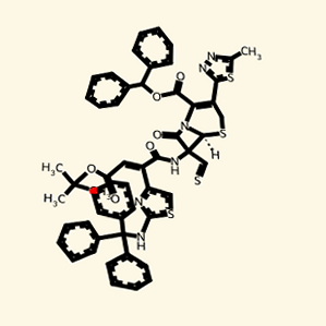 Cc1nnc(C2=C(C(=O)OC(c3ccccc3)c3ccccc3)N3C(=O)C(C=S)(NC(=O)C(=CC(=O)OC(C)(C)C)c4csc(NC(c5ccccc5)(c5ccccc5)c5ccccc5)n4)[C@@H]3SC2)s1